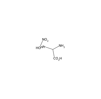 CCCC(N)C(=O)O.O=[N+]([O-])O